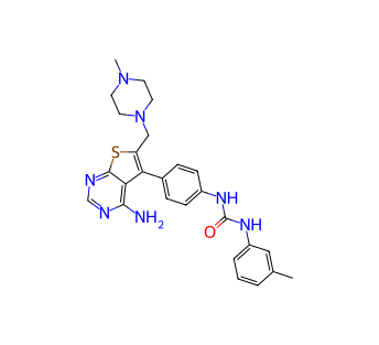 Cc1cccc(NC(=O)Nc2ccc(-c3c(CN4CCN(C)CC4)sc4ncnc(N)c34)cc2)c1